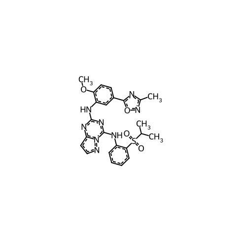 COc1ccc(-c2nc(C)no2)cc1Nc1nc(Nc2ccccc2S(=O)(=O)C(C)C)n2nccc2n1